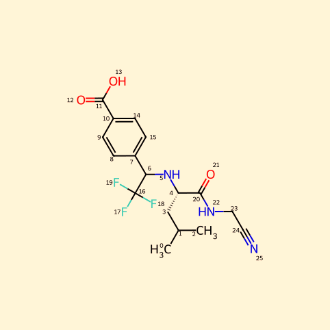 CC(C)C[C@H](NC(c1ccc(C(=O)O)cc1)C(F)(F)F)C(=O)NCC#N